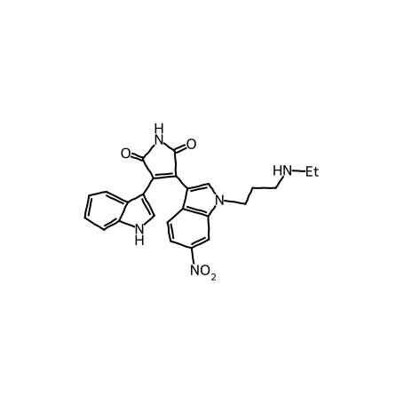 CCNCCCn1cc(C2=C(c3c[nH]c4ccccc34)C(=O)NC2=O)c2ccc([N+](=O)[O-])cc21